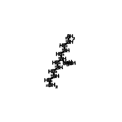 BBBBBBBBBBBB.[NaH].[NaH]